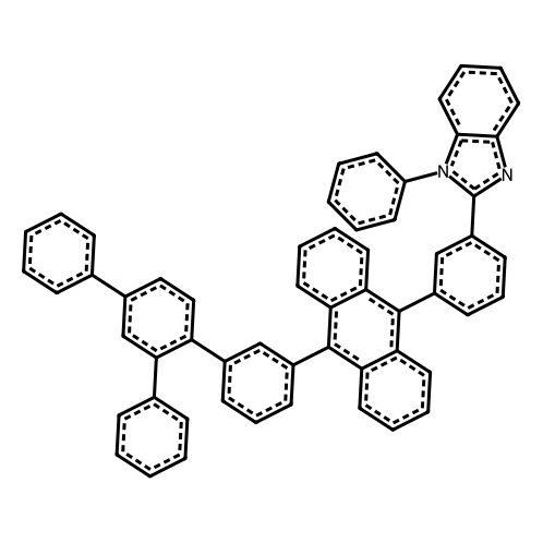 c1ccc(-c2ccc(-c3cccc(-c4c5ccccc5c(-c5cccc(-c6nc7ccccc7n6-c6ccccc6)c5)c5ccccc45)c3)c(-c3ccccc3)c2)cc1